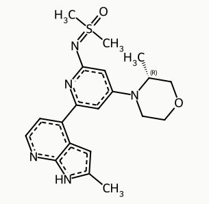 Cc1cc2c(-c3cc(N4CCOC[C@H]4C)cc(N=S(C)(C)=O)n3)ccnc2[nH]1